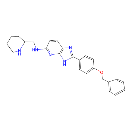 c1ccc(COc2ccc(-c3nc4ccc(NCC5CCCCN5)nc4[nH]3)cc2)cc1